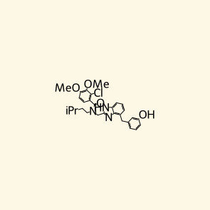 COc1ccc(C(=O)N(CCC(C)C)Cc2nc3c(Cc4cccc(O)c4)cccc3[nH]2)c(Cl)c1OC